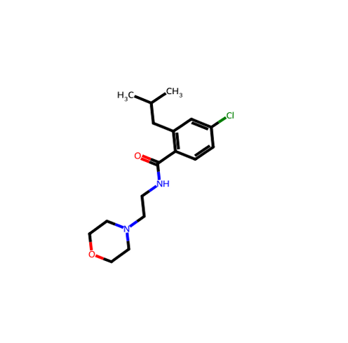 CC(C)Cc1cc(Cl)ccc1C(=O)NCCN1CCOCC1